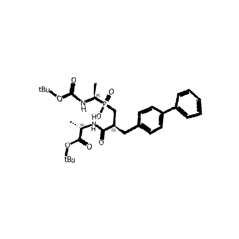 C[C@H](NC(=O)[C@H](Cc1ccc(-c2ccccc2)cc1)CP(=O)(O)[C@H](C)NC(=O)OC(C)(C)C)C(=O)OC(C)(C)C